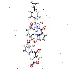 CC(NC(=O)c1ccsn1)C(Oc1ccc(C(=O)O[C@H]2CCCN(C(=O)[C@H]3COC(=O)C3)C2)cc1)c1ccc(C2CC2)cc1